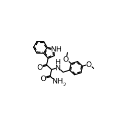 COc1ccc(CNC(C(N)=O)C(=O)c2c[nH]c3ccccc23)c(OC)c1